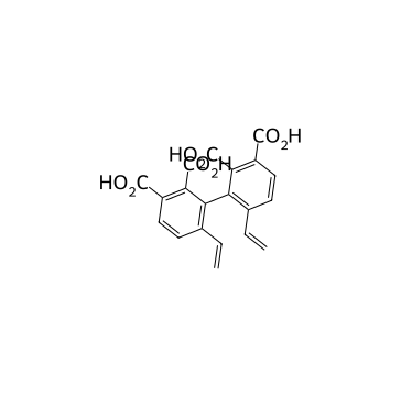 C=Cc1ccc(C(=O)O)c(C(=O)O)c1-c1c(C=C)ccc(C(=O)O)c1C(=O)O